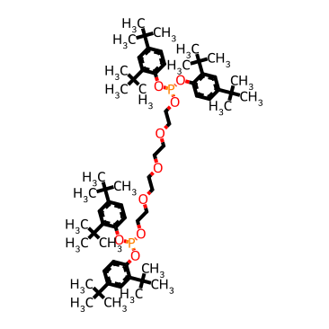 CC(C)(C)c1ccc(OP(OCCOCCOCCOCCOP(Oc2ccc(C(C)(C)C)cc2C(C)(C)C)Oc2ccc(C(C)(C)C)cc2C(C)(C)C)Oc2ccc(C(C)(C)C)cc2C(C)(C)C)c(C(C)(C)C)c1